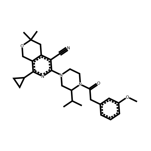 COc1cccc(CC(=O)N2CCN(c3nc(C4CC4)c4c(c3C#N)CC(C)(C)OC4)CC2C(C)C)c1